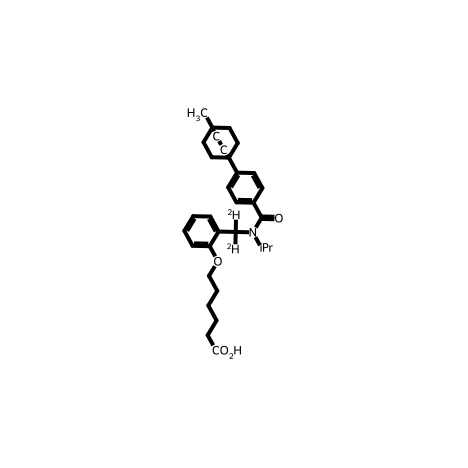 [2H]C([2H])(c1ccccc1OCCCCCC(=O)O)N(C(=O)c1ccc(C23CCC(C)(CC2)CC3)cc1)C(C)C